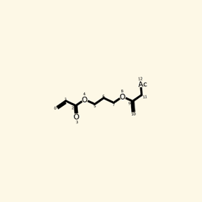 C=CC(=O)OCCCOC(=C)CC(C)=O